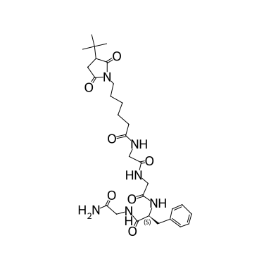 CC(C)(C)C1CC(=O)N(CCCCCC(=O)NCC(=O)NCC(=O)N[C@@H](Cc2ccccc2)C(=O)NCC(N)=O)C1=O